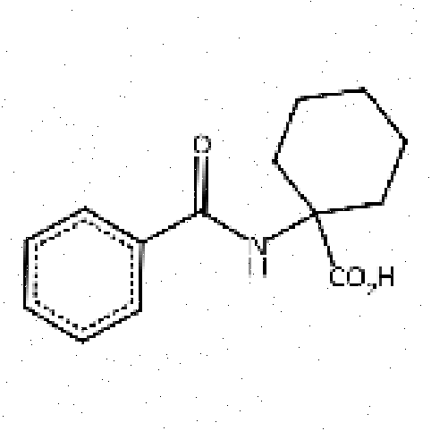 O=C(NC1(C(=O)O)CCCCC1)c1ccccc1